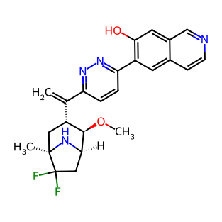 C=C(c1ccc(-c2cc3ccncc3cc2O)nn1)[C@H]1C[C@@]2(C)N[C@H](CC2(F)F)[C@@H]1OC